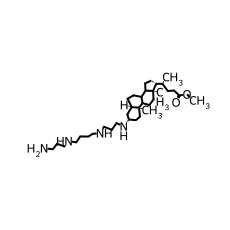 COC(=O)CC[C@@H](C)[C@H]1CCC2C3CC[C@@H]4C[C@@H](NCCCNCCCCNCCCN)CC[C@]4(C)C3CC[C@@]21C